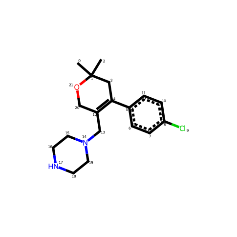 CC1(C)CC(c2ccc(Cl)cc2)=C(CN2CCNCC2)CO1